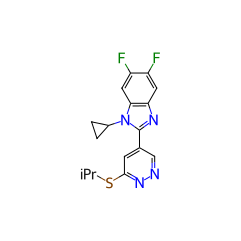 CC(C)Sc1cc(-c2nc3cc(F)c(F)cc3n2C2CC2)cnn1